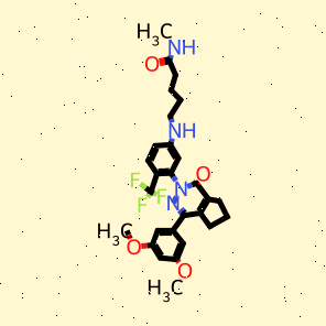 CNC(=O)CCCCNc1ccc(C(F)(F)F)c(-n2nc(-c3cc(OC)cc(OC)c3)c3c(c2=O)CCC3)c1